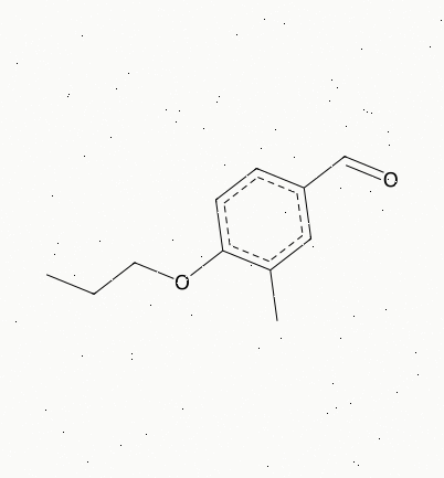 CCCOc1ccc(C=O)cc1C